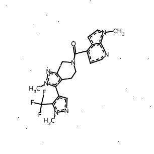 Cn1nc2c(c1-c1cnn(C)c1C(F)(F)F)CCN(C(=O)c1ccnc3c1ccn3C)C2